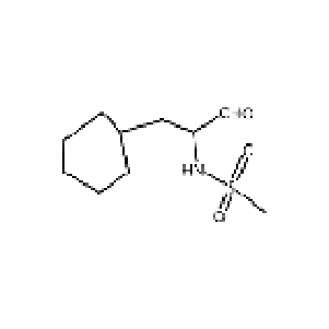 CS(=O)(=O)NC(C=O)CC1CCCCC1